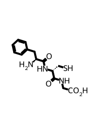 N[C@@H](Cc1ccccc1)C(=O)N[C@H](CS)C(=O)NCC(=O)O